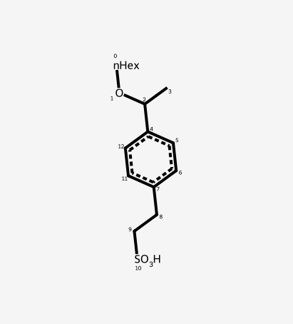 CCCCCCOC(C)c1ccc(CCS(=O)(=O)O)cc1